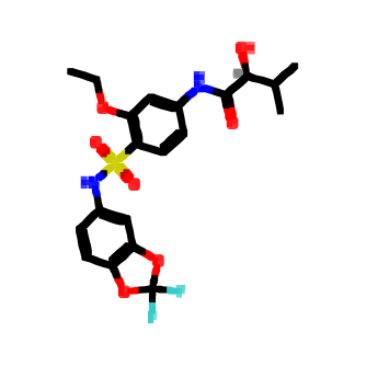 CCOc1cc(NC(=O)[C@@H](O)C(C)C)ccc1S(=O)(=O)Nc1ccc2c(c1)OC(F)(F)O2